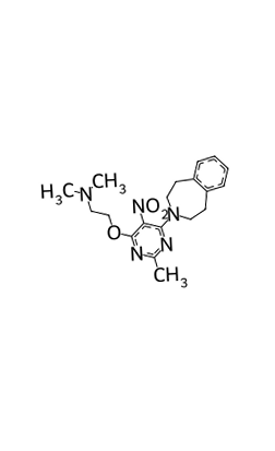 Cc1nc(OCCN(C)C)c([N+](=O)[O-])c(N2CCc3ccccc3CC2)n1